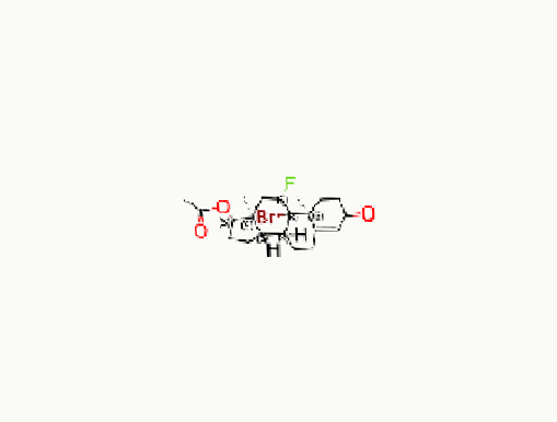 CC(=O)O[C@H]1CC[C@H]2[C@@H]3CCC4=CC(=O)CC[C@]4(C)[C@@]3(Br)[C@@H](F)C[C@]12C